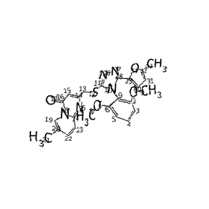 COc1cccc(OC)c1-n1c(SCc2cc(=O)n3cc(C)ccc3n2)nnc1-c1ccc(C)o1